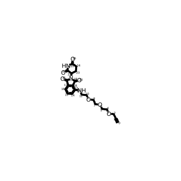 C#CCOCCOCCOCCNc1cccc2c1C(=O)N(C1CCC(=O)NC1=O)C2=O